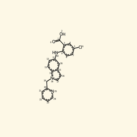 O=C(O)c1cc(Cl)ccc1Nc1ccc2c(ccn2Cc2ccccn2)c1